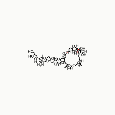 C=C1C[C@@H]2CC[C@]34OC([C@@H]5O[C@H]6CC[C@H](CC(=O)O[C@@H]7CC8OC9C[C@H](C[C@@H]%10O[C@@]%11(CC[C@@H]%10O)C[C@H](N)[C@@H]%10O[C@H]([C@@H](O)C[C@@H](O)CO)C[C@@H]%10O%11)O[C@@H]9C[C@@H]8O[C@H]7C[C@H]7O[C@@H](CC[C@@H]1O2)C[C@@H](C)C7=C)O[C@@H]6[C@H](O3)[C@@H]5C)C(O)(O)[C@H]4O